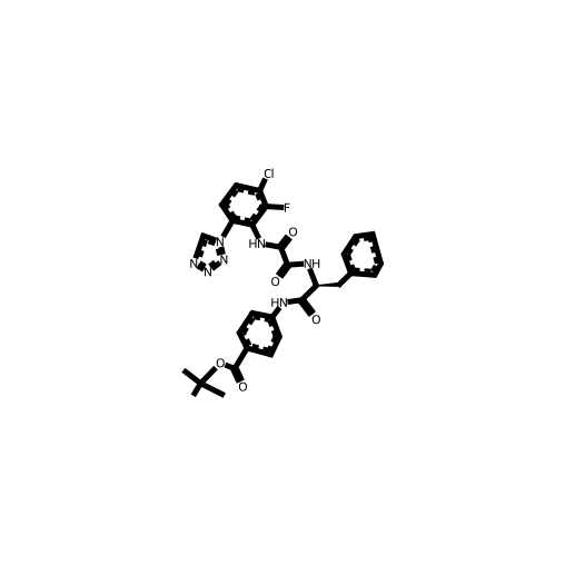 CC(C)(C)OC(=O)c1ccc(NC(=O)[C@H](Cc2ccccc2)NC(=O)C(=O)Nc2c(-n3cnnn3)ccc(Cl)c2F)cc1